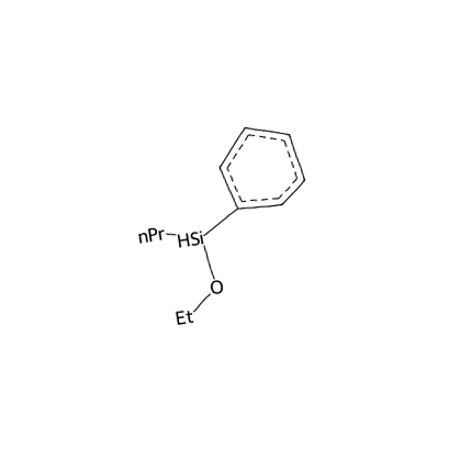 CCC[SiH](OCC)c1ccccc1